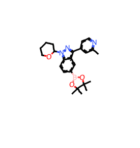 Cc1cc(-c2nn(C3CCCCO3)c3ccc(B4OC(C)(C)C(C)(C)O4)cc23)ccn1